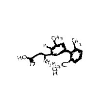 Cc1cc(-c2c(C)cccc2C)cc(C(N)CC(=O)O)c1F.Cl